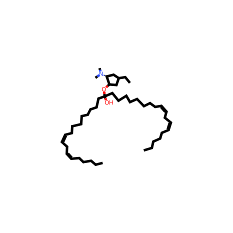 CCCCC/C=C\C/C=C\CCCCCCCCC(O)(CCCCCCCC/C=C\C/C=C\CCCCC)OC1CC(CC)C[C@H]1N(C)C